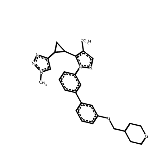 Cn1cc(C2CC2c2c(C(=O)O)cnn2-c2cccc(-c3cccc(OCC4CCOCC4)c3)c2)nn1